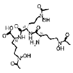 CC(=O)N(O)CCC[C@H](NC(=O)[C@H](CCCN(O)C(C)=O)NC(=O)[C@@H](N)CCCN(O)C(C)=O)C(=O)O